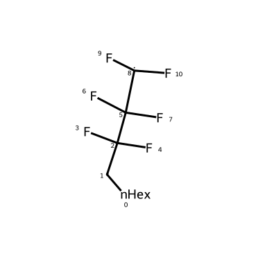 CCCCCCCC(F)(F)C(F)(F)[C](F)F